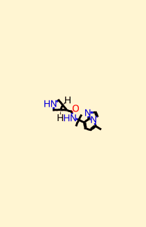 Cc1ccc(C(C)(C)NC(=O)C2[C@H]3CNC[C@@H]23)c2nccn12